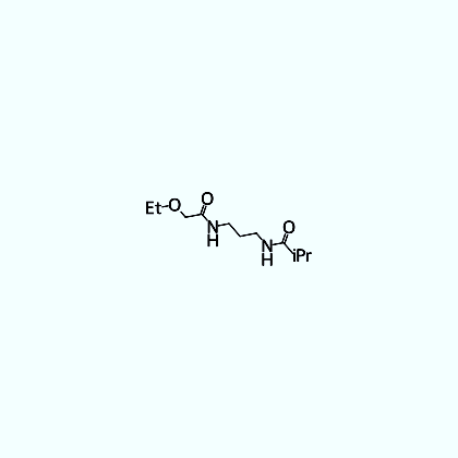 CCOCC(=O)NCCCNC(=O)C(C)C